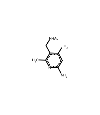 CC(=O)NCc1c(C)cc(N)nc1C